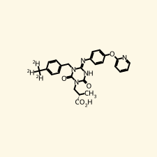 [2H]C([2H])([2H])c1ccc(Cn2c(=O)n(C[C@H](C)C(=O)O)c(=O)[nH]/c2=N\c2ccc(Oc3ccccn3)cc2)cc1